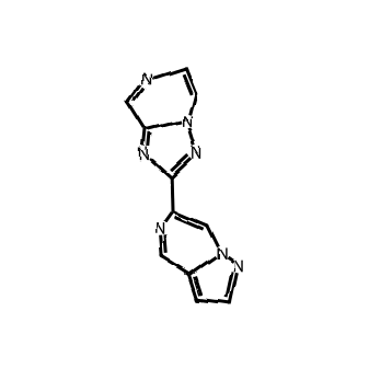 c1cn2nc(-c3cn4nccc4cn3)nc2cn1